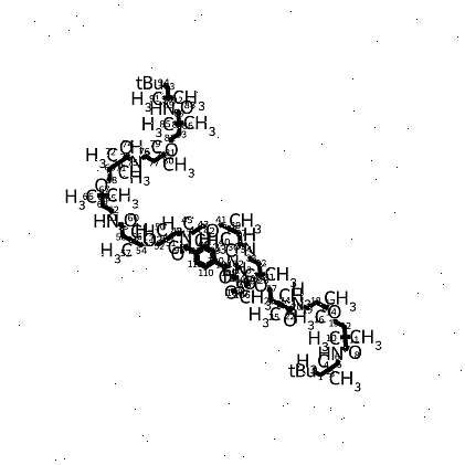 CC(C)(C)CC(C)(C)CNC(=O)C(C)(C)CCOC(C)(C)CCNC(=O)C(C)(C)CCOC(C)(C)CCNC(=O)CC(C)(C)COCC(C)(C)N(CC(C)(C)COCC(C)(C)CC(=O)NCCC(C)(C)OCCC(C)(C)C(=O)NCCC(C)(C)OCCC(C)(C)C(=O)NC(C)(C)CC(C)(C)C)C(=O)c1ccc(-c2nnc(S(C)(=O)=O)o2)cc1